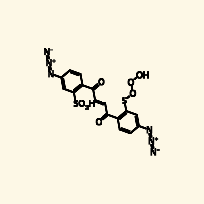 [N-]=[N+]=Nc1ccc(C(=O)/C=C/C(=O)c2ccc(N=[N+]=[N-])cc2S(=O)(=O)O)c(SOOO)c1